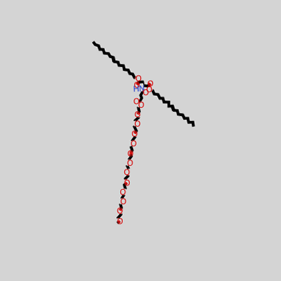 CCCCCCCC/C=C/CCCCCCCCOC(=O)C[C@H](NC(=O)CCC(=O)OCCOCCOCCOCCOCCOCCOCCOCCOCCOCCOCCOCCOC)C(=O)OCCCCCCCC/C=C/CCCCCCCC